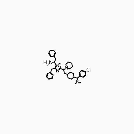 CN(C)C(c1ccc(Cl)cc1)C1CCC(CC(c2nc(Cc3ccccc3)c(C(N)Cc3ccccc3)o2)N2CCCCC2)CC1